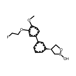 COc1ccc(-c2cccc([C@H]3COB(O)C3)c2)cc1OCCF